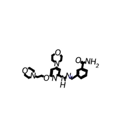 NC(=O)c1cccc(/C=N/Nc2cc(N3CCOCC3)cc(OCCN3CCOCC3)n2)c1